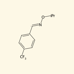 CC(C)O/N=[C]/c1ccc(C(F)(F)F)cc1